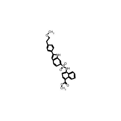 COCCc1ccc(-c2cc3ccc(S(=O)(=O)Nc4ccc(C(=O)OC)c5ccccc45)cc3[nH]2)cc1